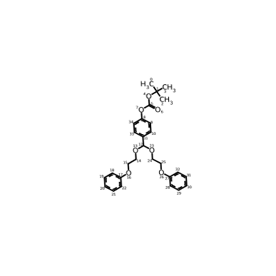 CC(C)(C)OC(=O)Oc1ccc(C(OCCOc2ccccc2)OCCOc2ccccc2)cc1